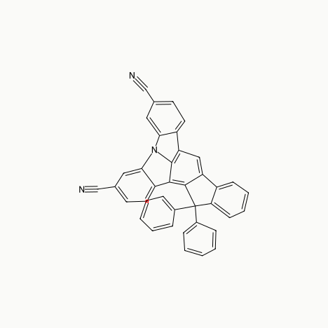 N#Cc1ccc2c3cc4c(c5c6ccc(C#N)cc6n(c2c1)c35)C(c1ccccc1)(c1ccccc1)c1ccccc1-4